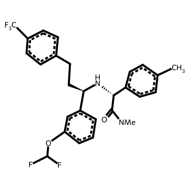 CNC(=O)[C@H](N[C@H](CCc1ccc(C(F)(F)F)cc1)c1cccc(OC(F)F)c1)c1ccc(C)cc1